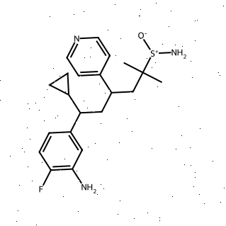 CC(C)(CC(CC(c1ccc(F)c(N)c1)C1CC1)c1ccncc1)[S+](N)[O-]